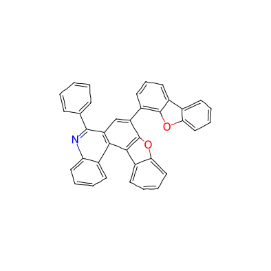 c1ccc(-c2nc3ccccc3c3c2cc(-c2cccc4c2oc2ccccc24)c2oc4ccccc4c23)cc1